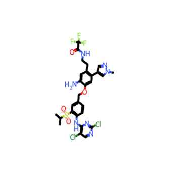 CC(C)S(=O)(=O)c1cc(COc2cc(-c3cnn(C)c3)c(CCNC(=O)C(F)(F)F)cc2N)ccc1Nc1nc(Cl)ncc1Cl